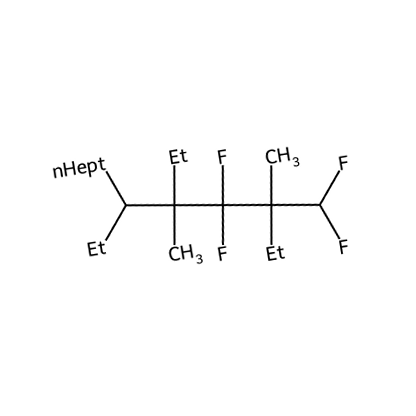 CCCCCCCC(CC)C(C)(CC)C(F)(F)C(C)(CC)C(F)F